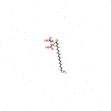 CCCCCCCCCCCCCCCCCC(=O)[SH](CCC(=O)O)CCC(=O)O